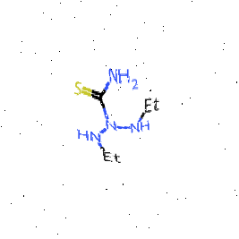 CCNN(NCC)C(N)=S